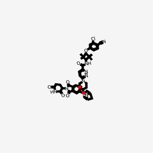 CC1(C)C(NC(=O)c2ccc(N3CCC(CN4C5CC4CN(c4ccc6c(c4)C(=O)N(C4CCC(=O)NC4=O)C6=O)C5)CC3)nn2)C(C)(C)C1Oc1ccc(C#N)c(Cl)c1